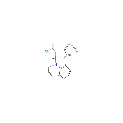 C=C(Cl)CC(C)(Cc1ccccc1)N1CC=Cc2cccc(F)c21